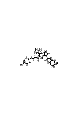 CC(=O)N1CCC(CC=CNc2nc3c(-c4cnc5ccc(F)cc5c4)cnn3c(N)c2Br)CC1